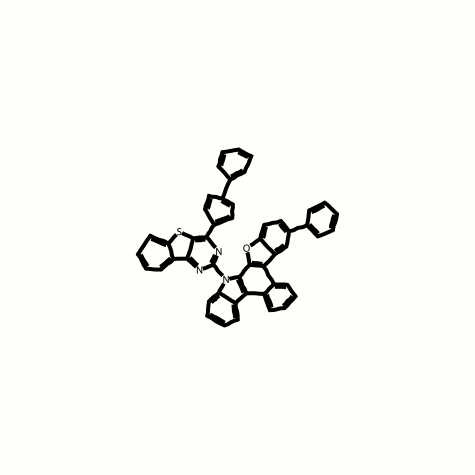 c1ccc(-c2ccc(-c3nc(-n4c5ccccc5c5c6ccccc6c6c7cc(-c8ccccc8)ccc7oc6c54)nc4c3sc3ccccc34)cc2)cc1